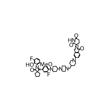 COc1cc(N2CCC(N3CCN(CC4CCN(c5ccc6c(c5)CN([C@H]5CCC(=O)NC5=O)C6=O)CC4)CC3)CC2)c(F)cc1[C@@H]1N(c2cccc(F)c2O)C(=O)C12CCCC2